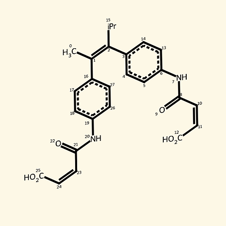 CC(=C(c1ccc(NC(=O)/C=C\C(=O)O)cc1)C(C)C)c1ccc(NC(=O)/C=C\C(=O)O)cc1